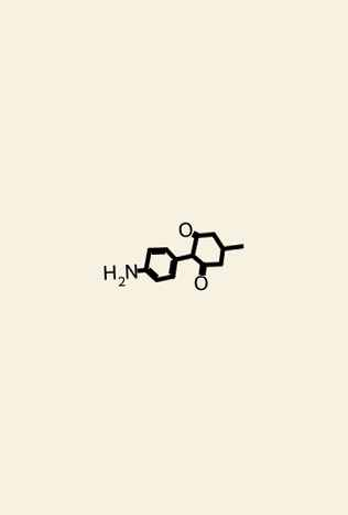 CC1CC(=O)C(c2ccc(N)cc2)C(=O)C1